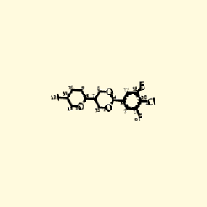 Fc1cc(C2OCC(C3CCC(I)CO3)CO2)cc(F)c1Cl